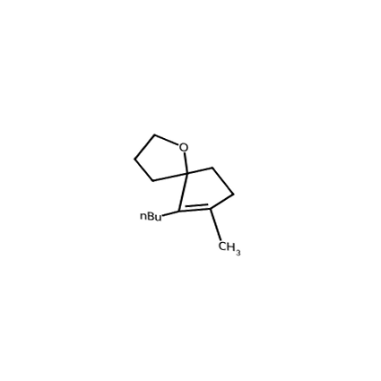 CCCCC1=C(C)CCC12CCCO2